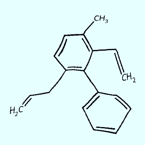 C=CCc1ccc(C)c(C=C)c1-c1ccccc1